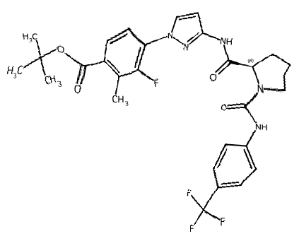 Cc1c(C(=O)OC(C)(C)C)ccc(-n2ccc(NC(=O)[C@H]3CCCN3C(=O)Nc3ccc(C(F)(F)F)cc3)n2)c1F